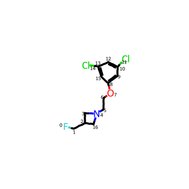 FCC1CN(CCOc2cc(Cl)cc(Cl)c2)C1